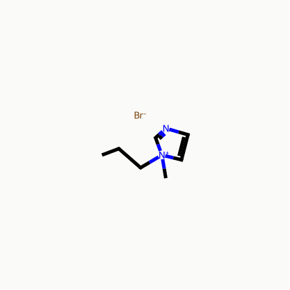 CCC[N+]1(C)C=CN=C1.[Br-]